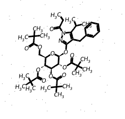 CCC(=O)n1nc(O[C@@H]2O[C@H](COC(=O)C(C)(C)C)[C@@H](OC(=O)C(C)(C)C)[C@H](OC(=O)C(C)(C)C)[C@H]2OC(=O)C(C)(C)C)c(Cc2ccccc2)c1C(C)C